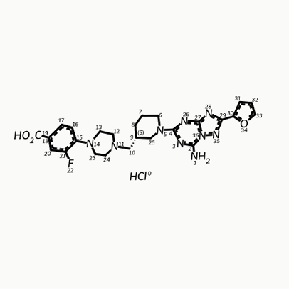 Cl.Nc1nc(N2CCC[C@@H](CN3CCN(c4ccc(C(=O)O)cc4F)CC3)C2)nc2nc(-c3ccco3)nn12